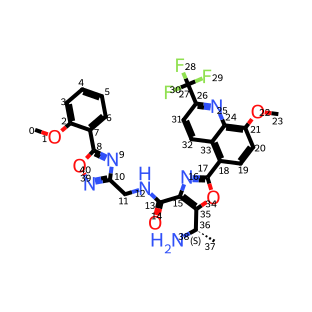 COc1ccccc1-c1nc(CNC(=O)c2nc(-c3ccc(OC)c4nc(C(F)(F)F)ccc34)oc2[C@H](C)N)no1